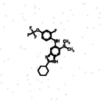 CN(C)c1cc2[nH]c(C3CCCCC3)nc2cc1Nc1ccc(OC(F)(F)F)cc1F